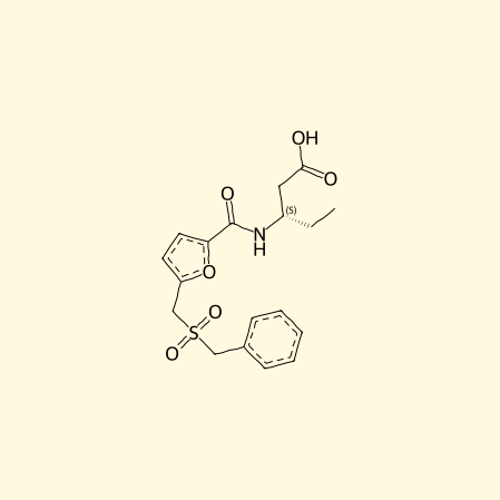 CC[C@@H](CC(=O)O)NC(=O)c1ccc(CS(=O)(=O)Cc2ccccc2)o1